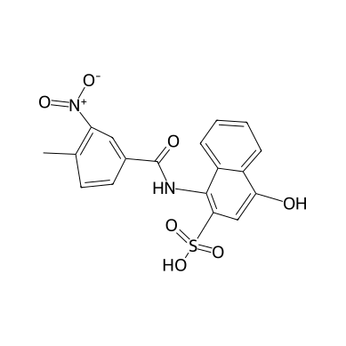 Cc1ccc(C(=O)Nc2c(S(=O)(=O)O)cc(O)c3ccccc23)cc1[N+](=O)[O-]